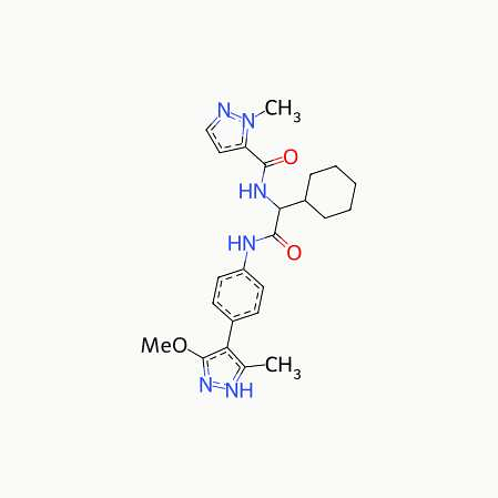 COc1n[nH]c(C)c1-c1ccc(NC(=O)C(NC(=O)c2ccnn2C)C2CCCCC2)cc1